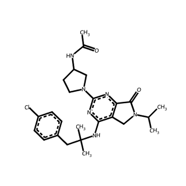 CC(=O)NC1CCN(c2nc(NC(C)(C)Cc3ccc(Cl)cc3)c3c(n2)C(=O)N(C(C)C)C3)C1